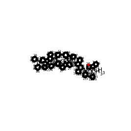 CC1(C)c2ccccc2-c2ccc(N(c3cc4c5ccccc5c(N(c5ccc6c(c5)C(C)(C)c5ccccc5-6)c5cccc6c5oc5cc(-c7cccc(N(c8ccccc8)c8cc9c(c%10ccccc8%10)-c8ccc(N(c%10ccccc%10)c%10ccccc%10)cc8C9(c8ccccc8)c8ccccc8)c7)ccc56)cc4c4ccccc34)c3cccc4c3oc3ccccc34)cc21